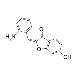 Nc1ccccc1C=C1Oc2cc(O)ccc2C1=O